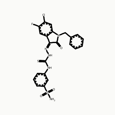 NS(=O)(=O)c1cccc(NC(=S)NN=C2C(=O)N(Cc3ccccc3)c3cc(Cl)c(F)cc32)c1